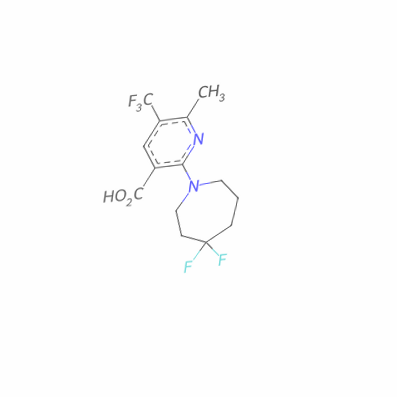 Cc1nc(N2CCCC(F)(F)CC2)c(C(=O)O)cc1C(F)(F)F